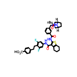 CCCCC(=O)N1[C@@H]2CC[C@H]1CN(Cc1cccc(C(=O)Nc3sc4c(c3C(=O)Nc3cc(F)c(CCc5ccc(C(=O)O)cc5)c(F)c3)CCCC4)c1)C2